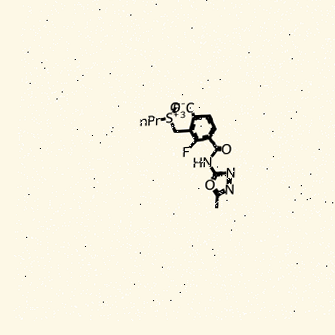 CCC[S+]([O-])Cc1c(C(F)(F)F)ccc(C(=O)Nc2nnc(C)o2)c1F